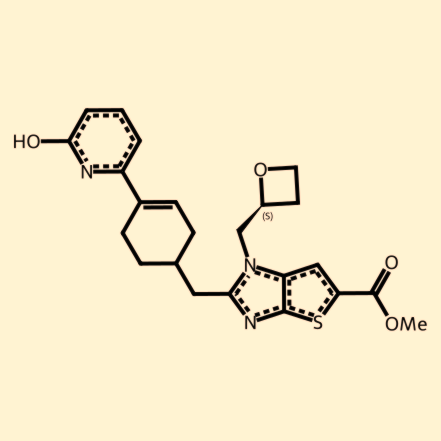 COC(=O)c1cc2c(nc(CC3CC=C(c4cccc(O)n4)CC3)n2C[C@@H]2CCO2)s1